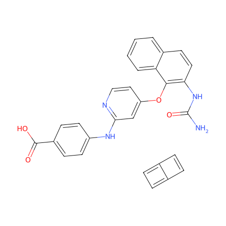 NC(=O)Nc1ccc2ccccc2c1Oc1ccnc(Nc2ccc(C(=O)O)cc2)c1.c1cc2ccc1-2